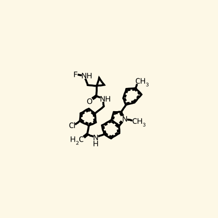 C=C(Nc1ccc2c(c1)cc(-c1ccc(C)cc1)n2C)c1cc(CNC(=O)C2(CNF)CC2)ccc1Cl